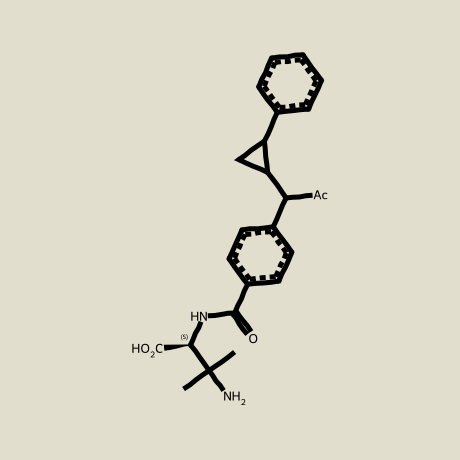 CC(=O)C(c1ccc(C(=O)N[C@H](C(=O)O)C(C)(C)N)cc1)C1CC1c1ccccc1